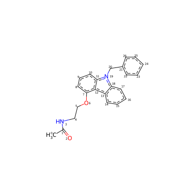 CC(=O)NCCOc1cccc2c1c1ccccc1n2Cc1ccccc1